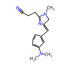 CN1C/C(=C/c2cccc(N(C)C)c2)N=C1CCC#N